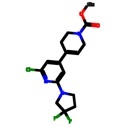 CC(C)(C)OC(=O)N1CC=C(c2cc(Cl)nc(N3CCC(F)(F)C3)c2)CC1